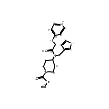 CC(C)(C)OC(=O)N1CCC(N(Cc2ccsc2)C(=O)CSc2ccncc2)CC1